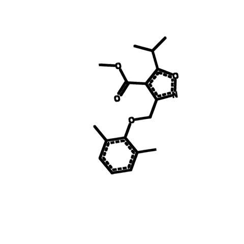 COC(=O)c1c(COc2c(C)cccc2C)noc1C(C)C